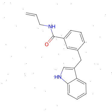 C=CCNC(=O)c1cc[c]c(Cc2c[nH]c3ccccc23)c1